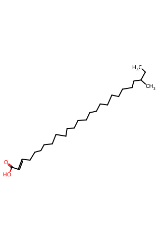 CCC(C)CCCCCCCCCCCCCCCCCCCCC=CC(=O)O